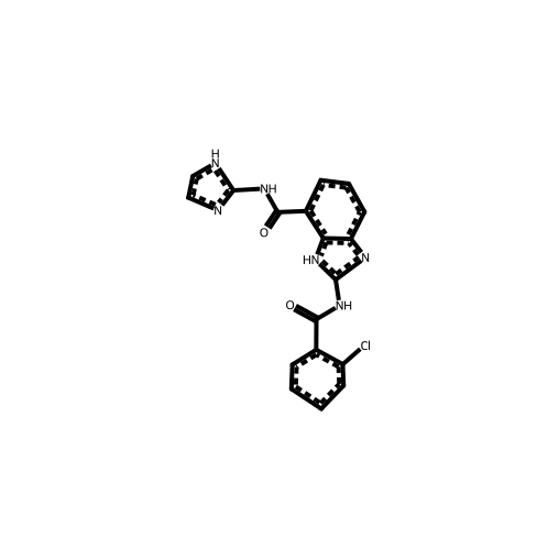 O=C(Nc1nc2cccc(C(=O)Nc3ncc[nH]3)c2[nH]1)c1ccccc1Cl